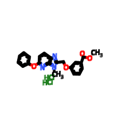 COC(=O)c1cccc(OCc2nc3ccc(Oc4ccccc4)nc3n2C)c1.Cl.Cl